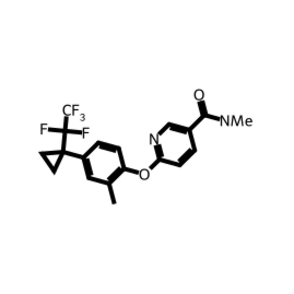 CNC(=O)c1ccc(Oc2ccc(C3(C(F)(F)C(F)(F)F)CC3)cc2C)nc1